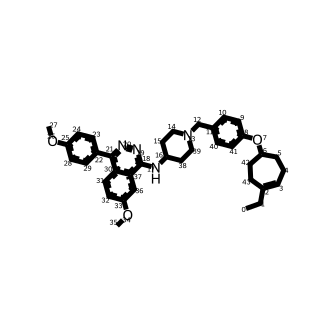 CCC1=CCCC(Oc2ccc(CN3CCC(Nc4nnc(-c5ccc(OC)cc5)c5ccc(OC)cc45)CC3)cc2)CC1